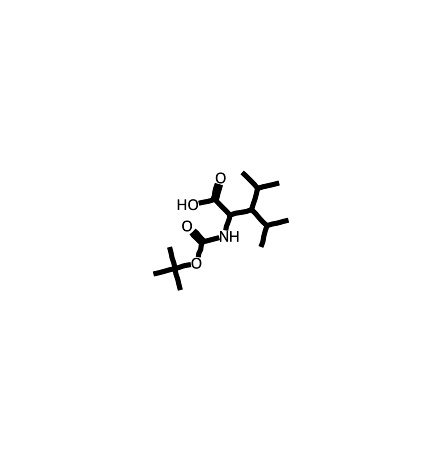 CC(C)C(C(C)C)C(NC(=O)OC(C)(C)C)C(=O)O